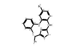 CC(C)Cc1nsc(Nc2ncc(Br)cc2Oc2ccccc2F)n1